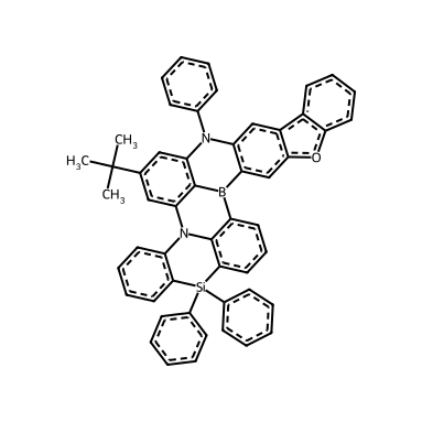 CC(C)(C)c1cc2c3c(c1)N1c4ccccc4[Si](c4ccccc4)(c4ccccc4)c4cccc(c41)B3c1cc3oc4ccccc4c3cc1N2c1ccccc1